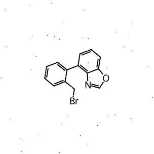 BrCc1ccccc1-c1cccc2ocnc12